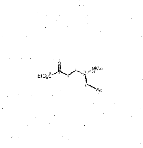 CCOC(=O)C(=O)CC[C@@H](CC(C)=O)NC